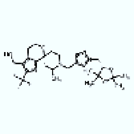 C[C@H]1C[C@@]2(CCN1Cc1cnn(C[C@@H]3OC(C)(C)OC3(C)C)c1)OCCc1c2sc(C(F)(F)F)c1CO